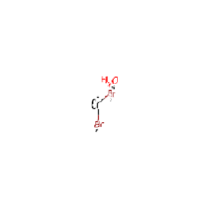 O.[Br][Cr][Br]